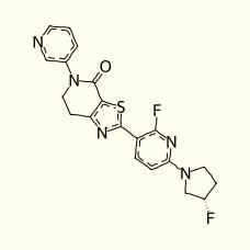 O=C1c2sc(-c3ccc(N4CC[C@H](F)C4)nc3F)nc2CCN1c1cccnc1